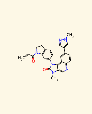 C=CC(=O)N1CCc2ccc(-n3c(=O)n(C)c4cnc5ccc(-c6cnn(C)c6)cc5c43)cc21